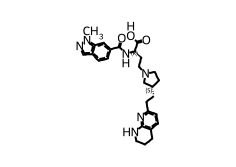 Cn1ncc2ccc(C(=O)N[C@H](CCN3CC[C@H](CCc4ccc5c(n4)NCCC5)C3)C(=O)O)cc21